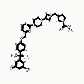 CC(C)(C)OC(=O)N1CCC(CN2CC(N3CCN(c4nccc(COc5ccc(C(C)(C)c6cc(Cl)cc(C#N)c6)cc5)n4)CC3)C2)C1